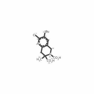 CC(C)(C)c1cc2c(nc1Cl)CC(C)(C(=O)O)N(C(=O)O)C2